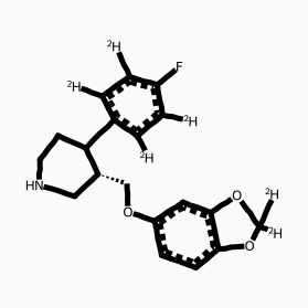 [2H]c1c([2H])c(C2CCNC[C@H]2COc2ccc3c(c2)OC([2H])([2H])O3)c([2H])c([2H])c1F